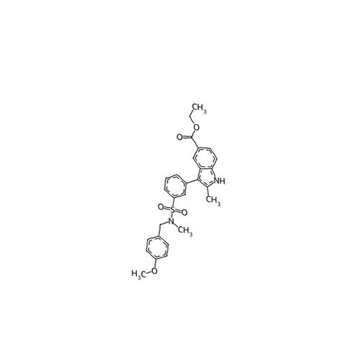 CCOC(=O)c1ccc2[nH]c(C)c(-c3cccc(S(=O)(=O)N(C)Cc4ccc(OC)cc4)c3)c2c1